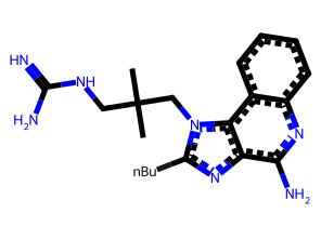 CCCCc1nc2c(N)nc3ccccc3c2n1CC(C)(C)CNC(=N)N